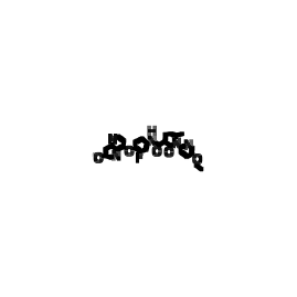 CCOc1ccc(-n2c(C)ccc(C(=O)Nc3ccc(Oc4ccnc5cc(OC)cnc45)c(F)c3)c2=O)nc1